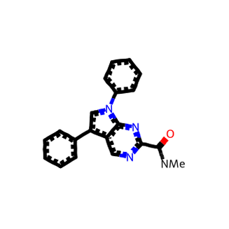 CNC(=O)c1ncc2c(-c3ccccc3)cn(-c3ccccc3)c2n1